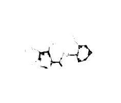 [C-]#[N+]c1ccccc1NC(=O)c1snc(Cl)c1Cl